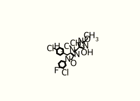 COc1ncc(-c2nc3c(n2C(C)C)C(c2ccc(Cl)cc2)N(c2ccc(F)c(Cl)c2)C3=O)c(O)n1